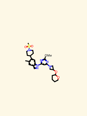 COc1nc(N2CC(OC3CCCCO3)C2)cc(-n2ncc3cc(C)c(C4CCN(S(C)(=O)=O)CC4)cc32)n1